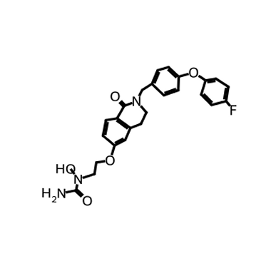 NC(=O)N(O)CCOc1ccc2c(c1)CCN(Cc1ccc(Oc3ccc(F)cc3)cc1)C2=O